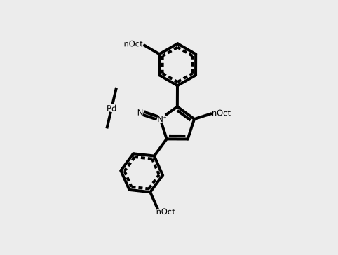 CCCCCCCCC1=C(c2cccc(CCCCCCCC)c2)[N+](=[N-])C(c2cccc(CCCCCCCC)c2)=C1.[CH3][Pd][CH3]